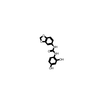 O=C(Nc1ccc2c(c1)OCO2)Nc1ccc(O)cc1O